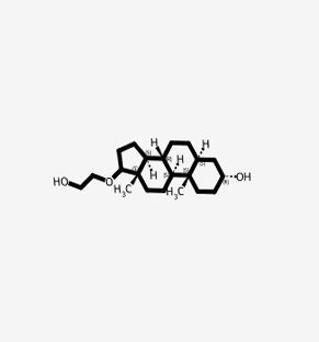 C[C@]12CC[C@@H](O)C[C@@H]1CC[C@@H]1[C@@H]2CC[C@]2(C)C(OCCO)CC[C@@H]12